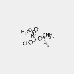 CC(C)(CN)c1ccc(/C(C#N)=C/c2ccc(Cl)cc2)cc1.COc1coc2ccccc12